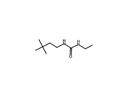 CCNC(=O)NCCC(C)(C)C